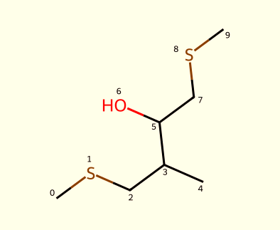 CSCC(C)C(O)CSC